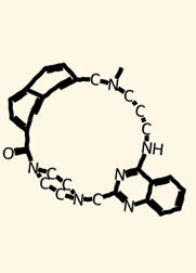 CN1CCCNc2nc(nc3ccccc23)CN2CCN(CC2)C(=O)c2ccc3ccc(cc3c2)C1